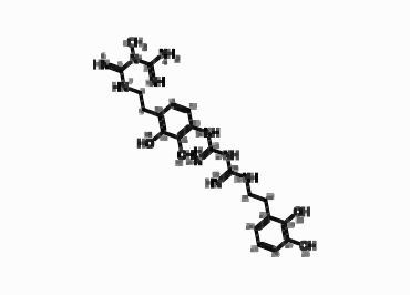 CN(C(=N)N)C(=N)NCCc1ccc(NC(=N)NC(=N)NCCc2cccc(O)c2O)c(O)c1O